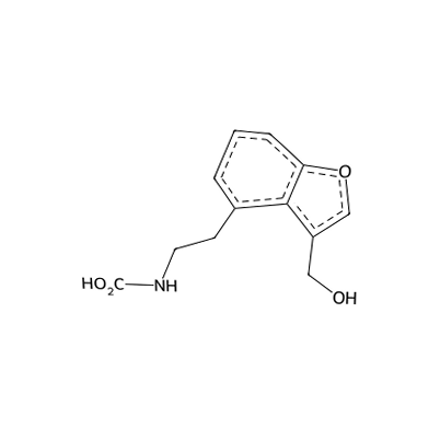 O=C(O)NCCc1cccc2occ(CO)c12